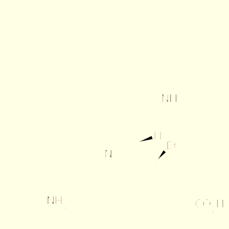 CC[C@@]1(C(C)C(=O)O)CCCN2CCc3c([nH]c4ccccc34)[C@@H]21.Cc1ccc(N)cc1